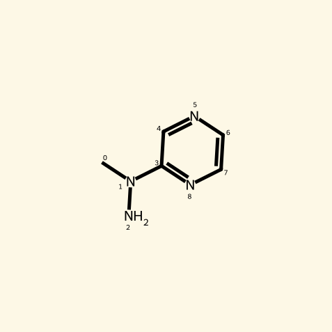 CN(N)c1cnccn1